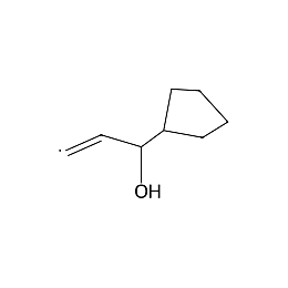 [CH]=CC(O)C1CCCC1